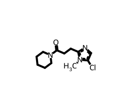 Cn1c(Cl)cnc1CCC(=O)N1CCCCC1